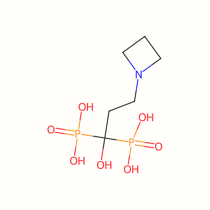 O=P(O)(O)C(O)(CCN1CCC1)P(=O)(O)O